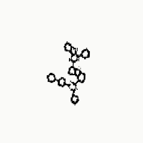 c1ccc(-c2ccc(-c3nc(-c4ccccc4)nc(-c4cccc5oc6c(-c7nc(-c8ccccc8)c8oc9ccccc9c8n7)cccc6c45)n3)cc2)cc1